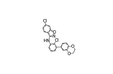 Clc1ccc2c(Nc3cccc(-c4ccc5c(c4)OCCO5)c3Cl)noc2c1